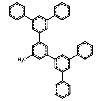 Cc1cc(-c2cc(-c3ccccc3)cc(-c3ccccc3)c2)cc(-c2cc(-c3ccccc3)cc(-c3ccccc3)c2)c1